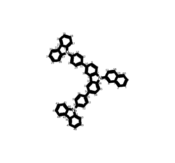 c1ccc2cc(-n3c4ccc(-c5ccc(-n6c7ccccc7c7ccccc76)cc5)cc4c4cc(-c5ccc(-n6c7ccccc7c7ccccc76)cc5)ccc43)ccc2c1